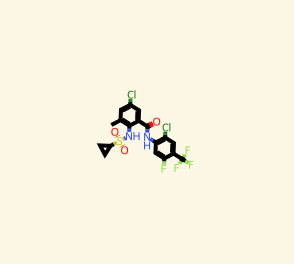 Cc1cc(Cl)cc(C(=O)Nc2cc(F)c(C(F)(F)F)cc2Cl)c1NS(=O)(=O)C1CC1